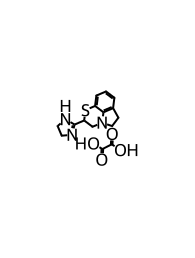 O=C(O)C(=O)O.c1cc2c3c(c1)SC(C1=NCCN1)CN3CC2